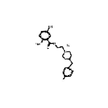 COc1ccc(C#N)cc1C(=O)NCCN1CCC(Cc2ccc(F)cc2)CC1.Cl